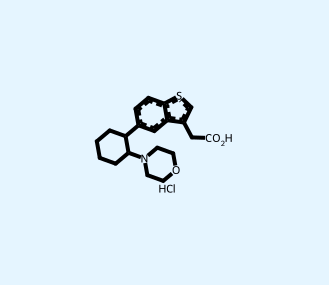 Cl.O=C(O)Cc1csc2ccc(C3CCCCC3N3CCOCC3)cc12